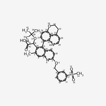 Cc1cc2nc(OCc3cccc(S(C)(=O)=O)c3)ccc2c(-c2ccc3c4c(ccnc24)CCO3)c1C(OC(C)(C)C)C(=O)O